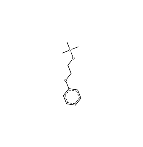 C[Si](C)(C)OCCOc1ccccc1